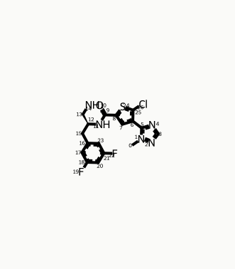 Cn1ncnc1-c1cc(C(=O)N[C@H](CN)Cc2cc(F)cc(F)c2)sc1Cl